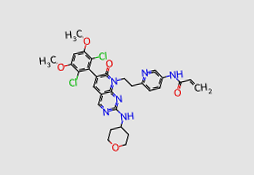 C=CC(=O)Nc1ccc(CCn2c(=O)c(-c3c(Cl)c(OC)cc(OC)c3Cl)cc3cnc(NC4CCOCC4)nc32)nc1